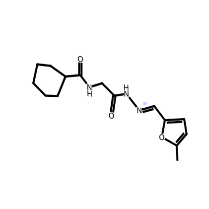 Cc1ccc(/C=N/NC(=O)CNC(=O)C2CCCCC2)o1